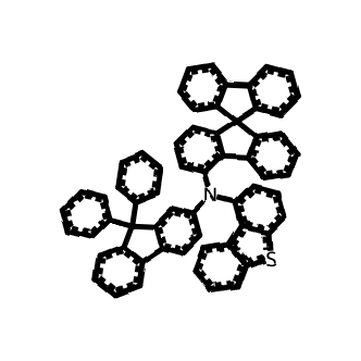 c1ccc(C2(c3ccccc3)c3ccccc3-c3ccc(N(c4cccc5c4-c4ccccc4C54c5ccccc5-c5ccccc54)c4cccc5sc6ccccc6c45)cc32)cc1